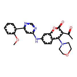 COc1ccccc1-c1cc(Nc2ccc3c(N4CCOCC4)c(C(C)=O)c(=O)oc3c2)ncn1